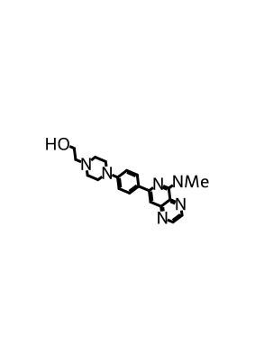 CNc1nc(-c2ccc(N3CCN(CCO)CC3)cc2)cc2nccnc12